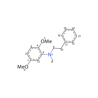 COc1ccc(OC)c(N(C)CCc2ccccc2)c1